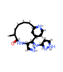 CC1CCCCc2cc(ccn2)-c2c(cnn2-c2cc[nH]n2)NC1=O